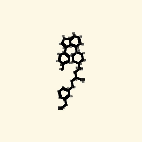 OCc1cccc(OCC(O)CNC2CCN(c3ncnc4scc(-c5ccc(F)cc5)c34)CC2)c1